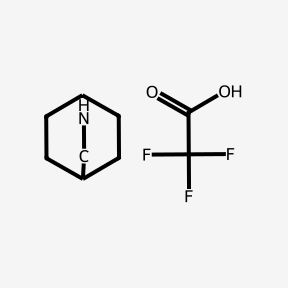 C1CC2CCC1CN2.O=C(O)C(F)(F)F